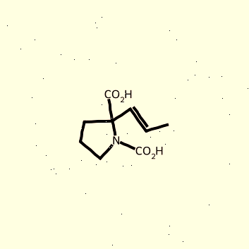 CC=CC1(C(=O)O)CCCN1C(=O)O